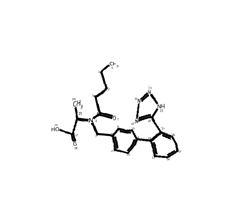 CCCCC(=O)N(Cc1ccc(-c2ccccc2-c2nnn[nH]2)cc1)C(C)C(=O)O